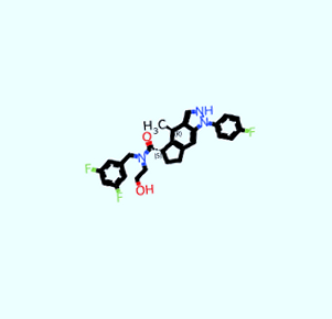 C[C@H]1C2=CNN(c3ccc(F)cc3)C2=CC2=C1[C@@H](C(=O)N(CCO)Cc1cc(F)cc(F)c1)CC2